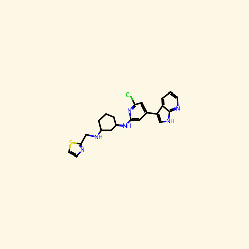 Clc1cc(-c2c[nH]c3ncccc23)cc(NC2CCCC(NCc3nccs3)C2)n1